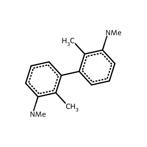 CNc1cccc(-c2cccc(NC)c2C)c1C